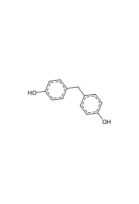 Oc1ccc([CH]c2ccc(O)cc2)cc1